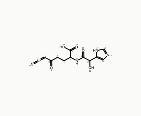 [N-]=[N+]=CC(=O)CCC(NC(=O)C(O)c1cnc[nH]1)C(=O)O